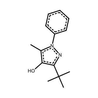 Cc1c(O)c(C(C)(C)C)nn1-c1ccccc1